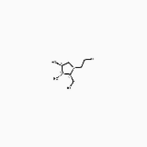 OCCN1C[C@H](O)[C@@H](O)[C@@H]1CO